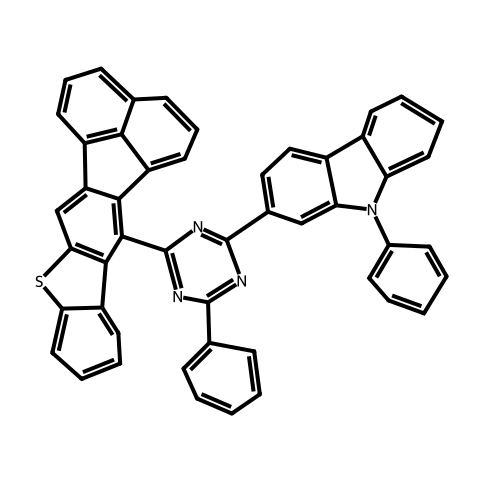 c1ccc(-c2nc(-c3ccc4c5ccccc5n(-c5ccccc5)c4c3)nc(-c3c4c(cc5sc6ccccc6c35)-c3cccc5cccc-4c35)n2)cc1